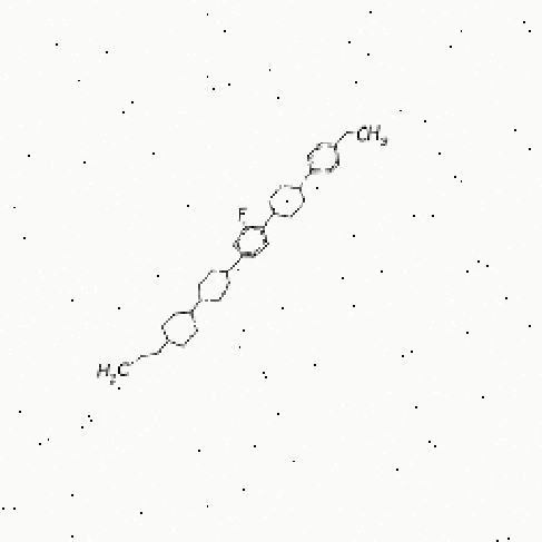 CCCC1CCC(C2CCC(c3ccc(C4CCC(c5ccc(CC)cc5)CC4)c(F)c3)CC2)CC1